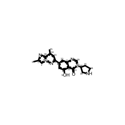 Cc1cn2nc(-c3cc(O)c4c(=O)n(C5CCNC5)cnc4c3)cc(C)c2n1